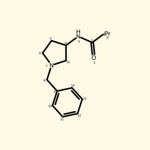 CC(C)C(=O)NC1CCN(Cc2ccccc2)C1